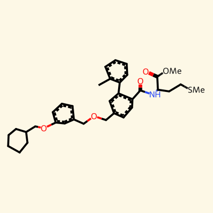 COC(=O)C(CCSC)NC(=O)c1ccc(COCc2cccc(OCC3CCCCC3)c2)cc1-c1ccccc1C